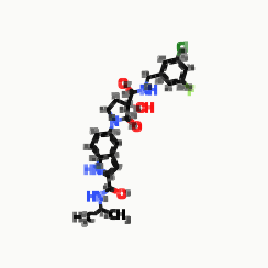 CC(C)NC(=O)c1cc2cc(N3CC[C@@](O)(C(=O)NCc4cc(F)cc(Cl)c4)C3=O)ccc2[nH]1